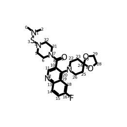 CN(C)SN1CCN(C(=O)c2cnc3ccc(F)cc3c2N2CCC3(CC2)OCCO3)CC1